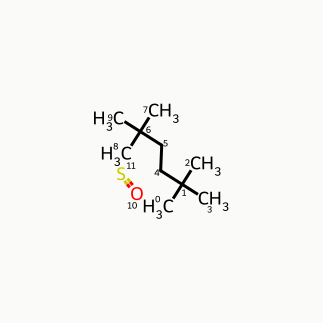 CC(C)(C)CCC(C)(C)C.O=S